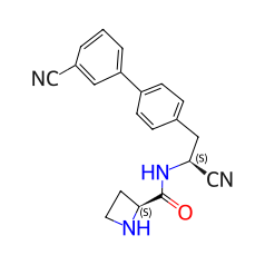 N#Cc1cccc(-c2ccc(C[C@@H](C#N)NC(=O)[C@@H]3CCN3)cc2)c1